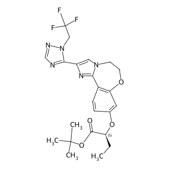 CC[C@H](Oc1ccc2c(c1)OCCn1cc(-c3ncnn3CC(F)(F)F)nc1-2)C(=O)OC(C)(C)C